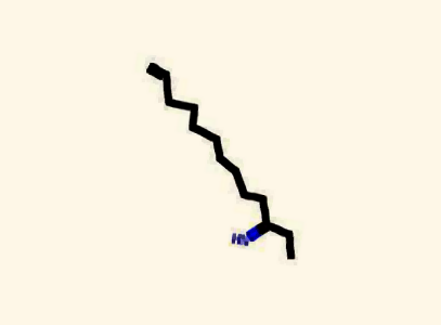 C=CCCCCCCCCC(=N)CC